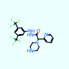 O=C(NNc1cc(C(F)(F)F)cc(C(F)(F)F)c1)C(c1ccccn1)N1CCNCC1